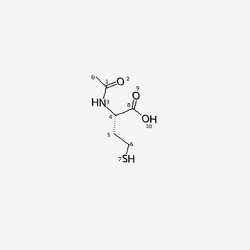 CC(=O)N[C@@H](CCS)C(=O)O